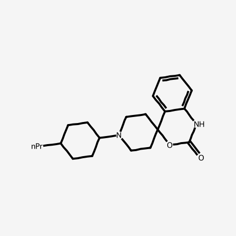 CCCC1CCC(N2CCC3(CC2)OC(=O)Nc2ccccc23)CC1